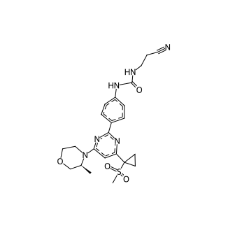 C[C@H]1COCCN1c1cc(C2(S(C)(=O)=O)CC2)nc(-c2ccc(NC(=O)NCCC#N)cc2)n1